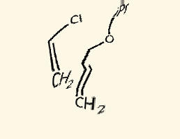 C=CCl.C=COC(C)C